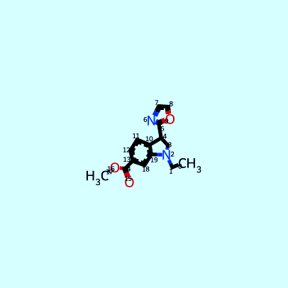 CCN1CC(c2ncco2)c2ccc(C(=O)OC)cc21